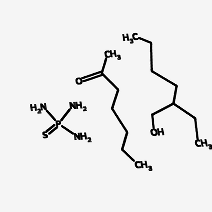 CCCCC(CC)CO.CCCCCC(C)=O.NP(N)(N)=S